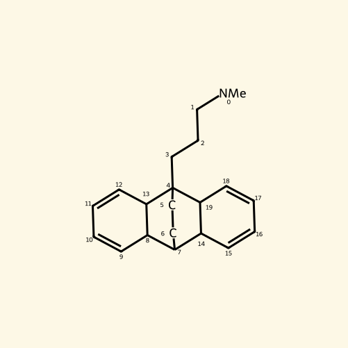 CNCCCC12CCC(C3C=CC=CC31)C1C=CC=CC12